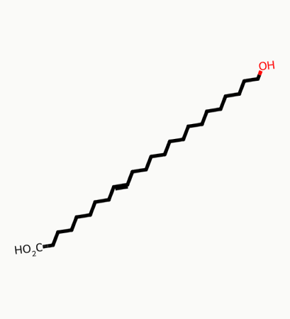 O=C(O)CCCCCCC/C=C/CCCCCCCCCCCCCCO